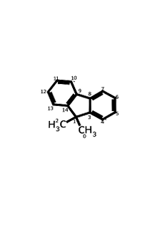 CC1(C)c2[c]cccc2-c2[c]cccc21